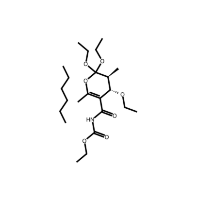 CCCCCC.CCOC(=O)NC(=O)C1=C(C)OC(OCC)(OCC)[C@@H](C)[C@@H]1OCC